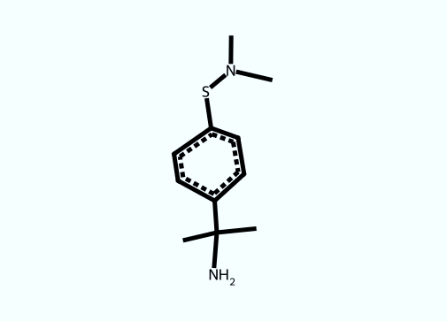 CN(C)Sc1ccc(C(C)(C)N)cc1